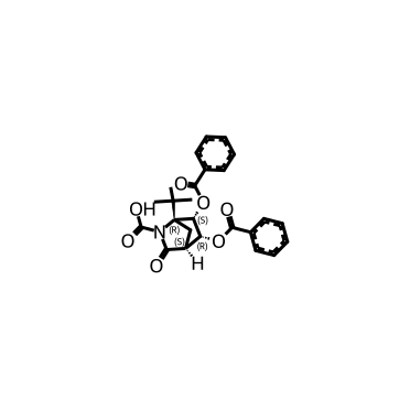 CC(C)(C)[C@@]12C[C@H](C(=O)N1C(=O)O)[C@@H](OC(=O)c1ccccc1)[C@H]2OC(=O)c1ccccc1